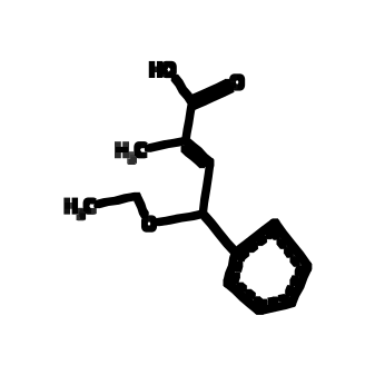 CCOC(C=C(C)C(=O)O)c1ccccc1